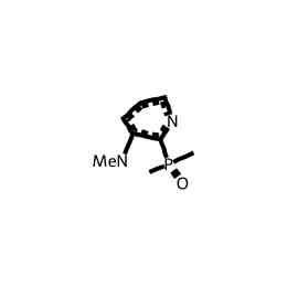 CNc1cccnc1P(C)(C)=O